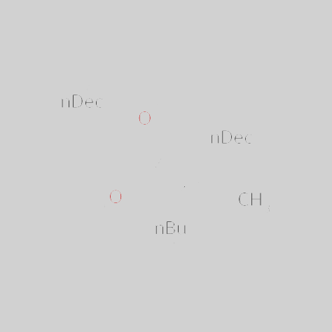 CCCCCCCCCCOC(=O)C(C)(CCCC)CCCCCCCCCC